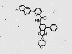 O=C(Nc1cc(-c2ccccc2)c2nc(N3CCOCC3)oc2c1)c1cccc(-c2cnc3[nH]ccc3c2)n1